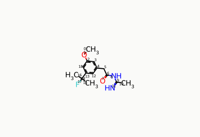 COc1cc(CC(=O)NC(C)=N)cc(C(C)(C)F)c1